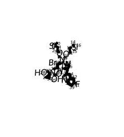 C[Si](C)(C)CCOCN(COCC[Si](C)(C)C)c1c(Br)c(CN(C(=O)O)C2(CO)CC2)nc2c(-c3cnc4ccc(F)cc4c3)cnn12